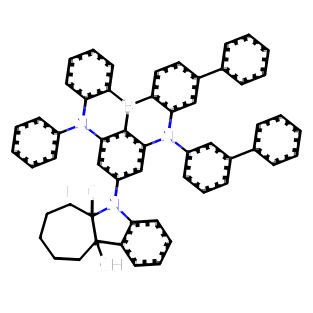 CC12CCCCCC1(C)N(c1cc3c4c(c1)N(c1cccc(-c5ccccc5)c1)c1cc(-c5ccccc5)ccc1B4c1ccccc1N3c1ccccc1)c1ccccc12